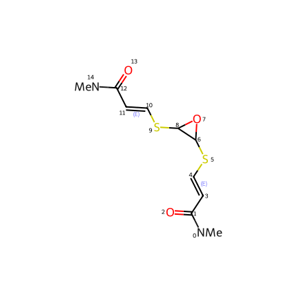 CNC(=O)/C=C/SC1OC1S/C=C/C(=O)NC